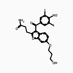 NC(=O)CCc1oc2cc(OCCCO)ccc2c1C(=O)c1cc(I)c(N=O)c(I)c1